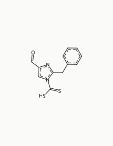 O=Cc1cn(C(=S)S)c(Cc2ccccc2)n1